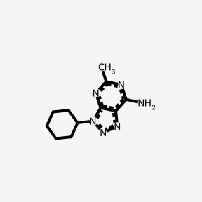 Cc1nc(N)c2nnn(C3CCCCC3)c2n1